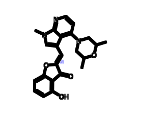 CC1CN(c2ccnc3c2c(/C=C2\Oc4cccc(O)c4C2=O)cn3C)CC(C)O1